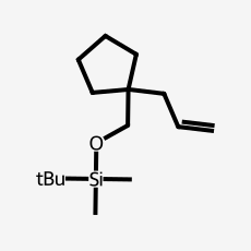 C=CCC1(CO[Si](C)(C)C(C)(C)C)CCCC1